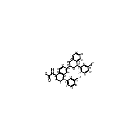 CC(=O)NC1CC[C@H](c2cccc(I)c2)c2cc(C3Cc4ccccc4C(c4cccc(I)c4)C3)ccc21